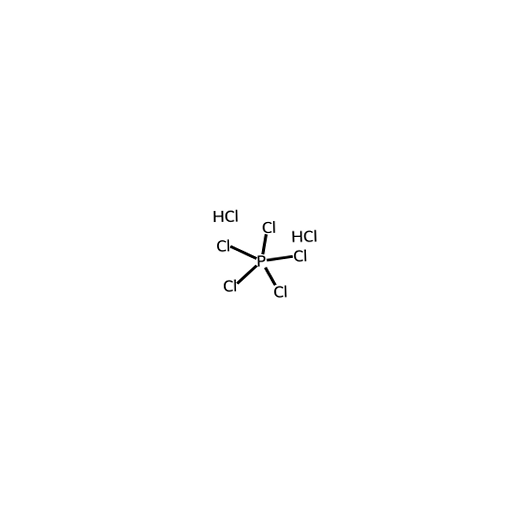 Cl.Cl.ClP(Cl)(Cl)(Cl)Cl